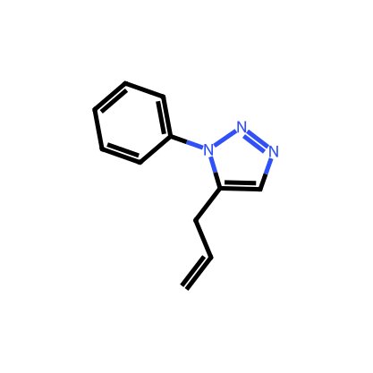 C=CCc1cnnn1-c1ccccc1